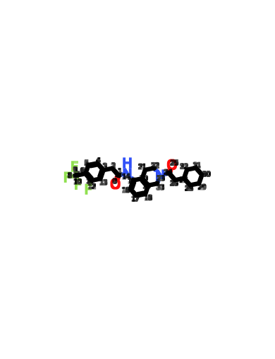 O=C(Cc1ccc(C(F)(F)F)c(F)c1)Nc1cccc2c1CCN(C(=O)CC1CCCCC1)C2